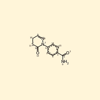 NC(=O)c1ccc(N2N=CCSC2=O)cn1